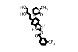 CN1CCC[C@@H](c2cc3[nH]/c(=N/C(=O)c4cccc(C(F)(F)F)c4)[nH]c3cc2CC[C@H](O)CO)C1=O